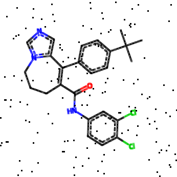 CC(C)(C)c1ccc(C2=C(C(=O)Nc3ccc(Cl)c(Cl)c3)CCCn3cncc32)cc1